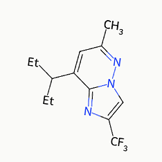 CCC(CC)c1cc(C)nn2cc(C(F)(F)F)nc12